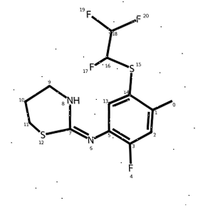 Cc1cc(F)c(N=C2NCCCS2)cc1SC(F)C(F)F